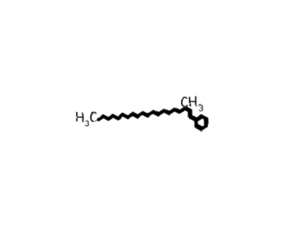 CCCCCCCCCCCCCCCCCCC(C)C=Cc1ccccc1